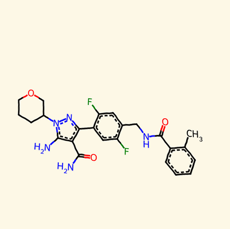 Cc1ccccc1C(=O)NCc1cc(F)c(-c2nn(C3CCCOC3)c(N)c2C(N)=O)cc1F